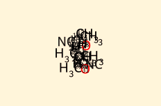 [C-]#[N+]C1=C[C@]2(C)C3=CC(=O)[C@@H]4[C@@H]5CC(C)(C)CC[C@]5(C#N)CC[C@@]4(C)[C@]3(C)CC[C@H]2[C@H](C)C1=O